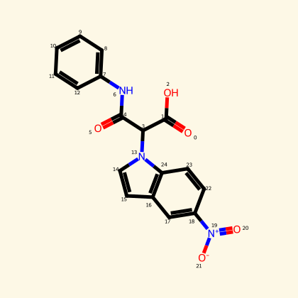 O=C(O)C(C(=O)Nc1ccccc1)n1ccc2cc([N+](=O)[O-])ccc21